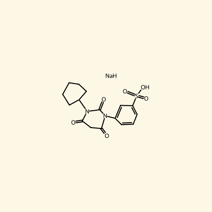 O=C1CC(=O)N(C2CCCCC2)C(=O)N1c1cccc(S(=O)(=O)O)c1.[NaH]